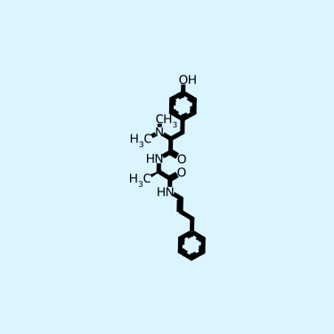 C[C@@H](NC(=O)C(Cc1ccc(O)cc1)N(C)C)C(=O)NC=CCc1ccccc1